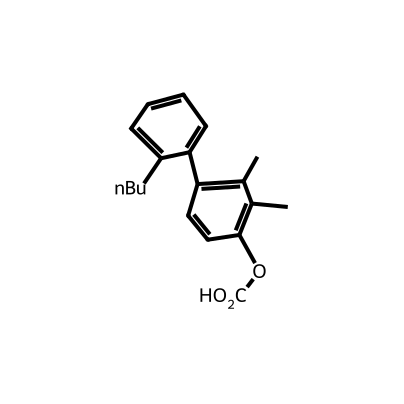 CCCCc1ccccc1-c1ccc(OC(=O)O)c(C)c1C